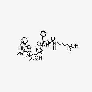 CC[C@H](C)[C@H](NC(=O)[C@@H]1CCCCN1C)C(=O)N(C)C(CC(O)c1nc(C(=O)N[C@@H](Cc2ccccc2)C[C@H](C)C(=O)NCCCCCC(=O)O)cs1)C(C)C